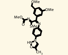 COCc1cc(OC)cc(C(=Nc2ccc(N3C=C(C)ON3)cc2)C(=NC(=O)OC)SC)c1